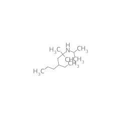 CCCC(CC)CC(C)(C)NC(C)C